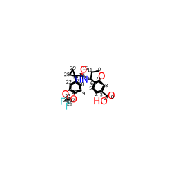 O=C(O)c1ccc2c(c1)OCCC2NC(=O)C1(c2ccc3c(c2)OC(F)(F)O3)CC1